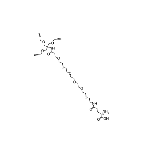 C#CCOCC(COCC#C)(COCC#C)NC(=O)CCOCCOCCOCCOCCOCCOCCNC(=O)CC[C@H](N)C(=O)O